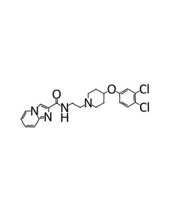 O=C(NCCN1CCC(Oc2ccc(Cl)c(Cl)c2)CC1)c1cn2ccccc2n1